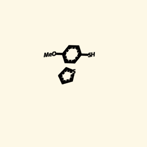 COc1ccc(S)cc1.c1ccsc1